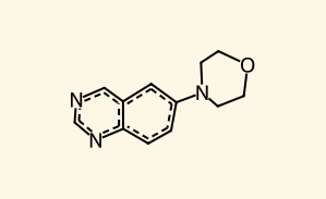 c1ncc2cc(N3CCOCC3)ccc2n1